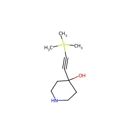 CS(C)(C)C#CC1(O)CCNCC1